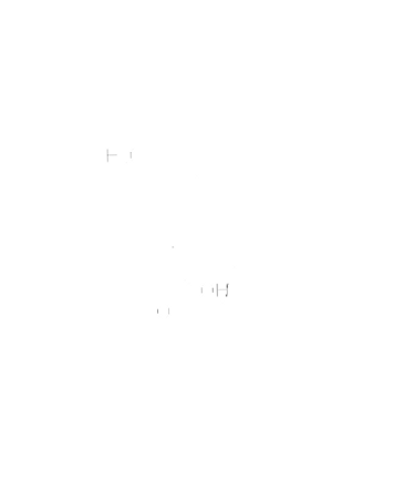 CC1=CC=C(c2ccccc2)C(I)(C(=O)O)C1